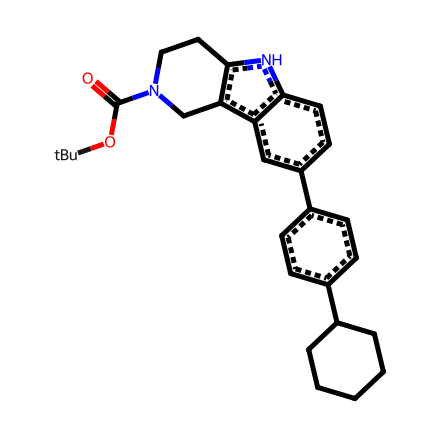 CC(C)(C)OC(=O)N1CCc2[nH]c3ccc(-c4ccc(C5CCCCC5)cc4)cc3c2C1